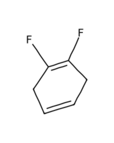 FC1=C(F)CC=CC1